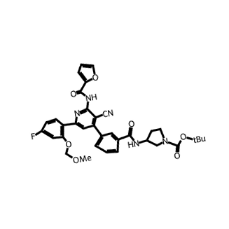 COCOc1cc(F)ccc1-c1cc(-c2cccc(C(=O)NC3CCN(C(=O)OC(C)(C)C)C3)c2)c(C#N)c(NC(=O)c2ccco2)n1